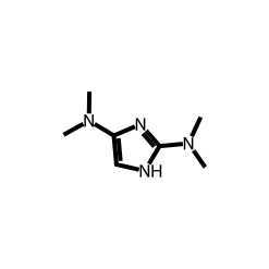 CN(C)c1c[nH]c(N(C)C)n1